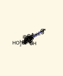 C=CCOC(=O)/C=C/C=C(\C)CC/C=C/C=C/C[C@H](C)[C@@H](O)[C@@H](CCC(C)=O)C(=O)N[C@H](C(=O)N[C@@H](Cc1cc(O)cc(F)c1)C(=O)N1CCCC(C(=O)O)N1)C(C)C